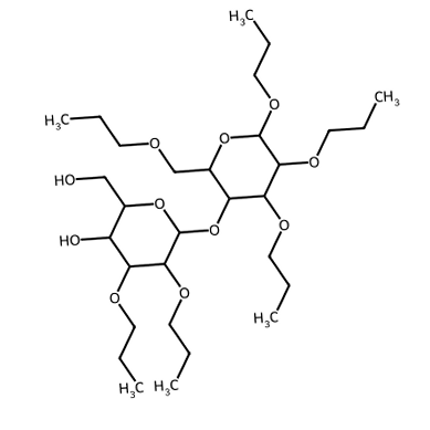 CCCOCC1OC(OCCC)C(OCCC)C(OCCC)C1OC1OC(CO)C(O)C(OCCC)C1OCCC